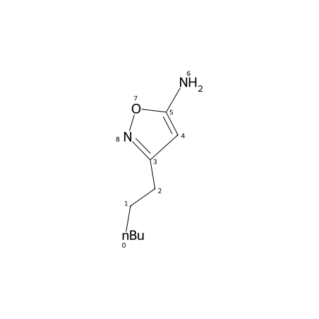 CCCCCCc1cc(N)on1